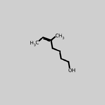 C/C=C(/C)CCCCO